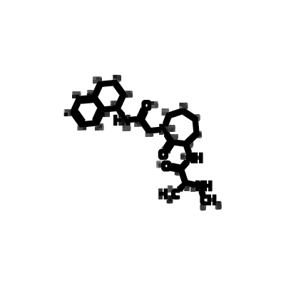 CN[C@@H](C)C(=O)NC1CCCCN(CC(=O)N[C@@H]2CCCc3ccccc32)C1=O